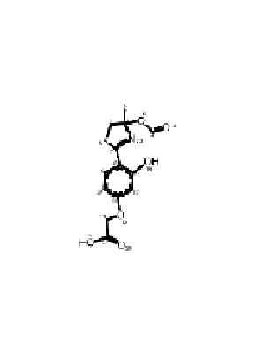 C[C@]1(OC=O)CSC(c2ccc(OCC(=O)O)cc2O)=N1